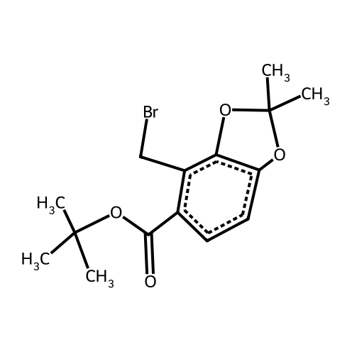 CC(C)(C)OC(=O)c1ccc2c(c1CBr)OC(C)(C)O2